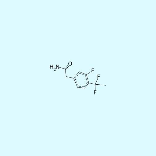 CC(F)(F)c1ccc(CC(N)=O)cc1F